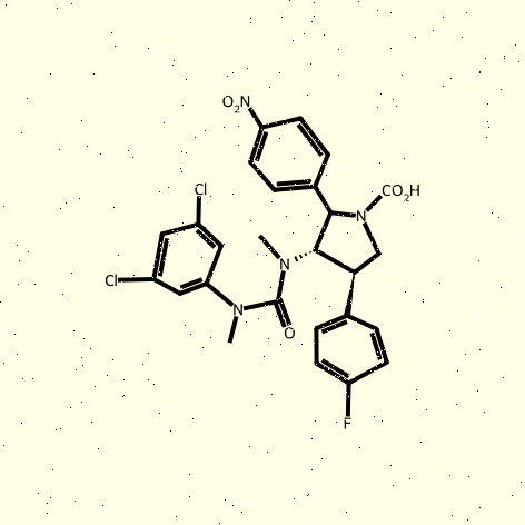 CN(C(=O)N(C)[C@@H]1C(c2ccc([N+](=O)[O-])cc2)N(C(=O)O)C[C@H]1c1ccc(F)cc1)c1cc(Cl)cc(Cl)c1